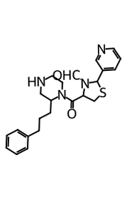 O=CN1C(C(=O)N2CCNCC2CCCc2ccccc2)CSC1c1cccnc1